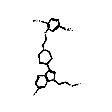 CCOCCn1cc(C2CCN(CCOc3cc(OC)ccc3C(=O)O)CC2)c2ccc(F)cc21